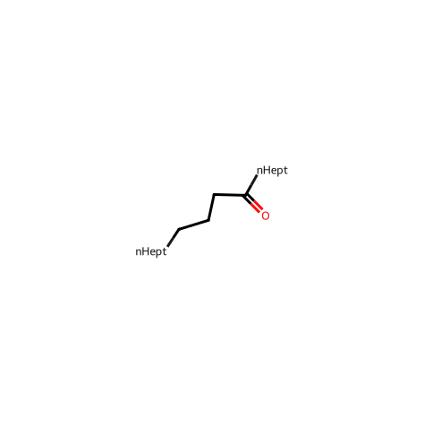 CCCCCCCCCCC(=O)CCCCCCC